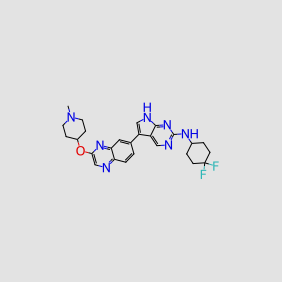 CN1CCC(Oc2cnc3ccc(-c4c[nH]c5nc(NC6CCC(F)(F)CC6)ncc45)cc3n2)CC1